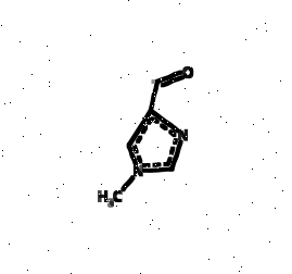 Cn1cnc([C]=O)c1